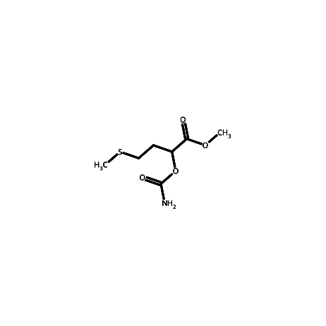 COC(=O)C(CCSC)OC(N)=O